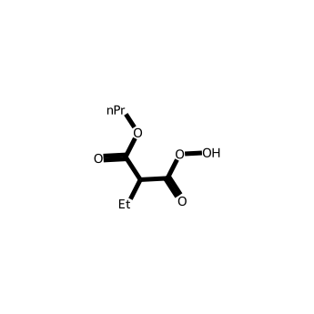 CCCOC(=O)C(CC)C(=O)OO